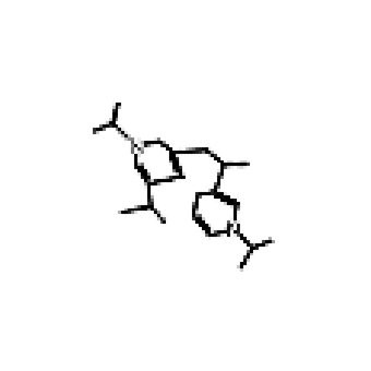 CC(C)C1=CN(C(C)C)CC(CC(C)C2=CN(C(C)C)C=CC2)=C1